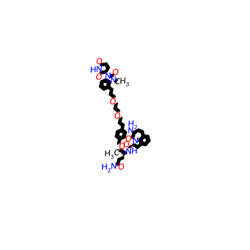 C[C@@H](OCc1ccc(CCCOCCCOCCCc2cccc3c2n(C)c(=O)n3C2CCC(=O)NC2=O)cc1)[C@H](CCC(N)=O)NC(=O)[C@@H]1Cc2cccc3c2N1C(=O)[C@@H](N)CC3